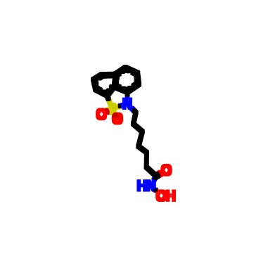 O=C(CCCCCCN1c2cccc3cccc(c23)S1(=O)=O)NO